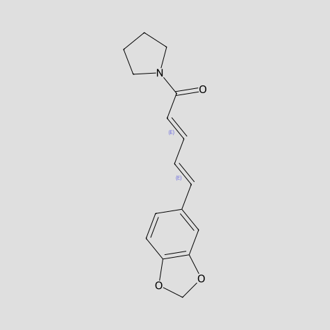 O=C(/C=C/C=C/c1ccc2c(c1)OCO2)N1CCCC1